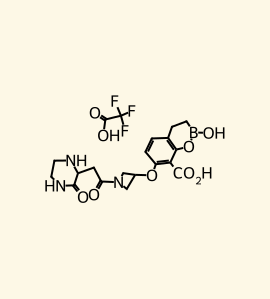 O=C(O)C(F)(F)F.O=C(O)c1c(OC2CN(C(=O)CC3NCCNC3=O)C2)ccc2c1OB(O)CC2